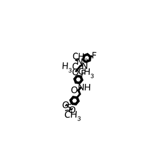 CCn1c(C(C)(C)Oc2ccc(NC(=O)Cc3ccc(S(=O)(=O)CC)cc3)cc2F)nc2cc(F)ccc21